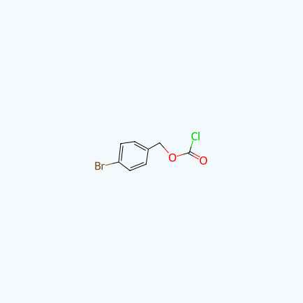 O=C(Cl)OCc1ccc(Br)cc1